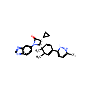 CC1C=C(C2=CC=C(C(F)(F)F)NN2)C=CC1(C)[C@H]1[C@@H](C2CC2)C(=O)N1c1ccc2[nH]cnc2c1